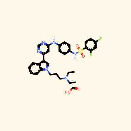 CCN(CC)CCCn1cc(-c2cc(Nc3ccc(NS(=O)(=O)c4ccc(F)cc4F)cc3)ncn2)c2ccccc21.O=CO